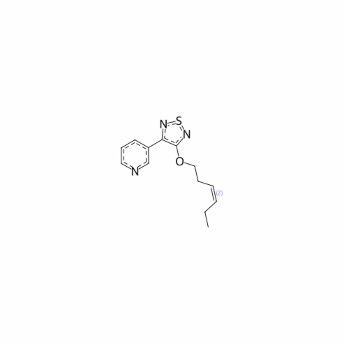 CC/C=C\CCOc1nsnc1-c1cccnc1